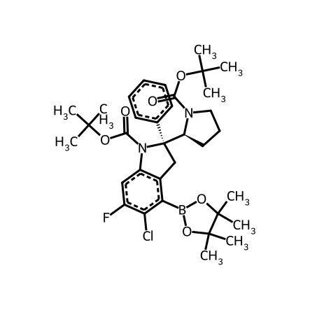 CC(C)(C)OC(=O)N1CCC[C@H]1[C@@]1(c2ccccc2)Cc2c(cc(F)c(Cl)c2B2OC(C)(C)C(C)(C)O2)N1C(=O)OC(C)(C)C